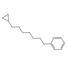 [c]1ccccc1CCCCCCCC1CC1